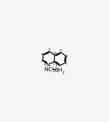 BC#N.c1ccc2ncccc2c1